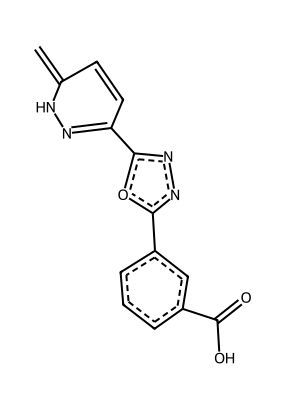 C=C1C=CC(c2nnc(-c3cccc(C(=O)O)c3)o2)=NN1